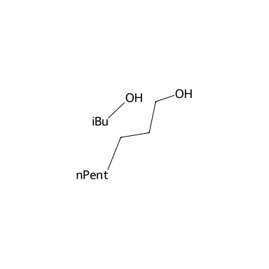 CCC(C)O.CCCCCCCCO